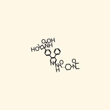 CCN(C(C)=O)[C@H]1CC[C@H](CC(=O)Nc2cc(-c3ccccc3)c(-c3ccc([C@]4(NC(=O)O)C[C@](C)(O)C4)cc3)cn2)CC1